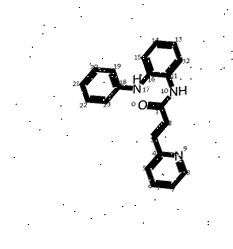 O=C(C=Cc1ccccn1)Nc1ccccc1Nc1ccccc1